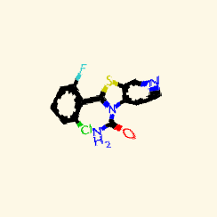 NC(=O)N1c2ccn[c]c2SC1c1c(F)cccc1Cl